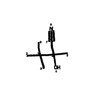 CC(C)(C)C(C)(O)C#N